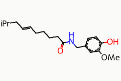 COc1cc(CNC(=O)CCCC/C=C/CC(C)C)ccc1O